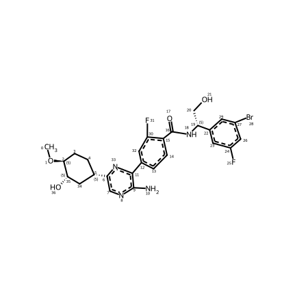 CO[C@H]1CC[C@H](c2cnc(N)c(-c3ccc(C(=O)N[C@H](CO)c4cc(F)cc(Br)c4)c(F)c3)n2)C[C@@H]1O